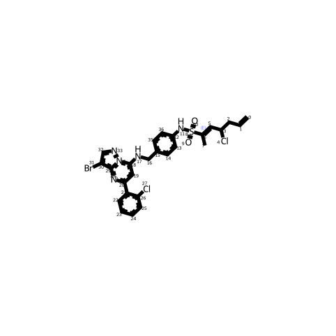 C=CCC(Cl)/C=C(\C)S(=O)(=O)Nc1ccc(CNc2cc(-c3ccccc3Cl)nc3c(Br)cnn23)cc1